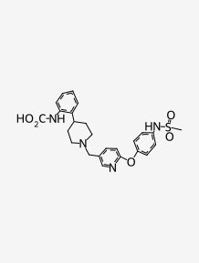 CS(=O)(=O)Nc1ccc(Oc2ccc(CN3CCC(c4ccccc4NC(=O)O)CC3)cn2)cc1